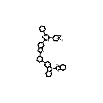 C1=C[C@H]2CC2C=C1c1nc(-c2ccccc2)nc(-c2ccc3nc(-c4cccc(-c5ccc6c(c5)c5ccccc5n6-c5nc6ccccc6o5)c4)sc3c2)n1